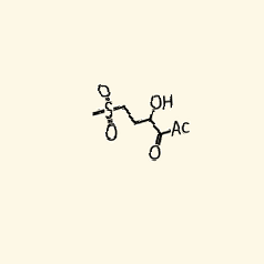 CC(=O)C(=O)C(O)CCS(C)(=O)=O